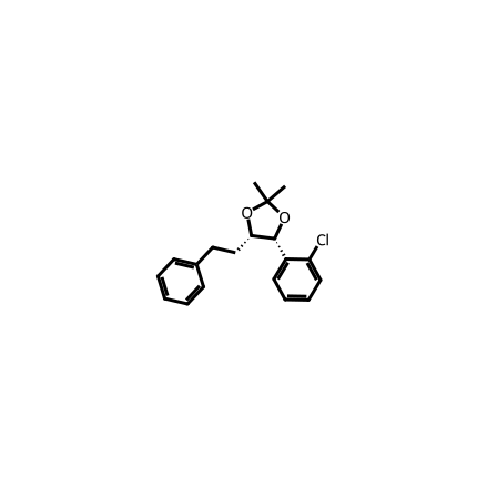 CC1(C)O[C@@H](CCc2ccccc2)[C@@H](c2ccccc2Cl)O1